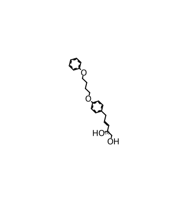 OC[C@@H](O)C=CCc1ccc(OCCCCOc2ccccc2)cc1